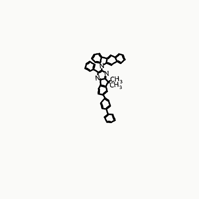 CC1(C)c2cc(-c3ccc(-c4ccccc4)cc3)ccc2-c2nc(-c3ccccc3)c(-n3c4ccccc4c4cc5ccccc5cc43)nc21